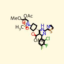 COC[C@H](CN([C@H]1CC[C@H](C2=C(C(=O)OC)C(c3ccc(F)c(F)c3Cl)N=C(c3nccs3)N2)CC1)S(C)(=O)=O)OC(C)=O